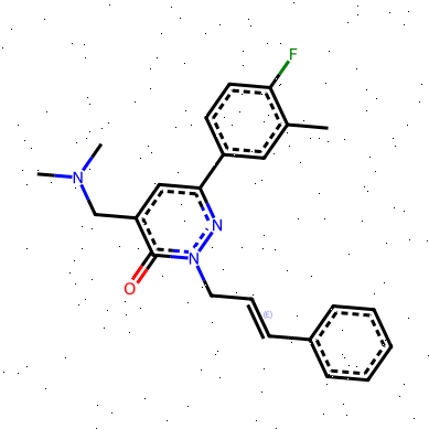 Cc1cc(-c2cc(CN(C)C)c(=O)n(C/C=C/c3ccccc3)n2)ccc1F